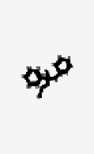 CCCC(C)(Cc1ccccc1)c1ccccc1